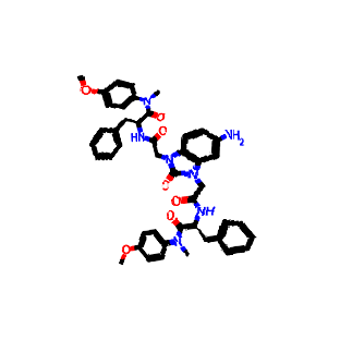 COc1ccc(N(C)C(=O)[C@H](Cc2ccccc2)NC(=O)Cn2c(=O)n(CC(=O)N[C@@H](Cc3ccccc3)C(=O)N(C)c3ccc(OC)cc3)c3cc(N)ccc32)cc1